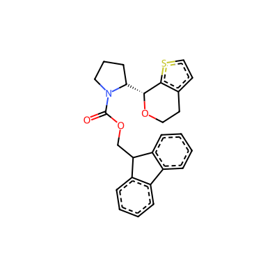 O=C(OCC1c2ccccc2-c2ccccc21)N1CCCC1[C@H]1OCCc2ccsc21